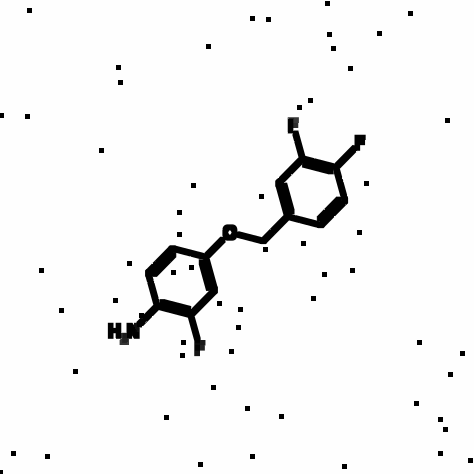 Nc1ccc(OCc2ccc(F)c(F)c2)cc1F